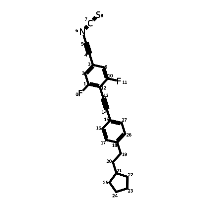 Fc1cc(C#CN=C=S)cc(F)c1C#Cc1ccc(CCC2CCCC2)cc1